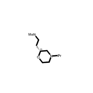 CNCC[C@@H]1CN(C(C)C)CCO1